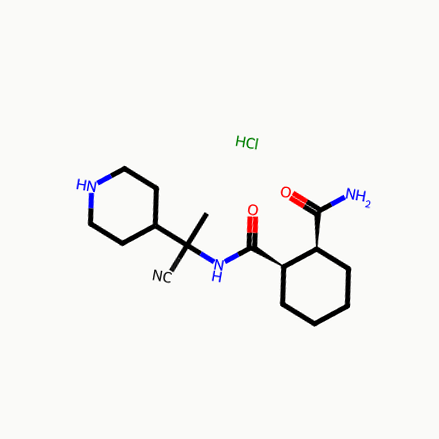 CC(C#N)(NC(=O)[C@@H]1CCCC[C@@H]1C(N)=O)C1CCNCC1.Cl